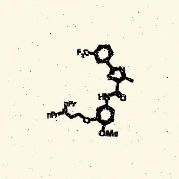 CCCN(CCC)CCOc1cc(NC(=O)c2sc(-c3cccc(C(F)(F)F)c3)nc2C)ccc1OC